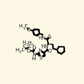 COc1ccc(CNC(=S)[C@@H](CCC2CCCCC2)NC(=O)c2csc(NC(=O)OC(C)(C)C)n2)cc1